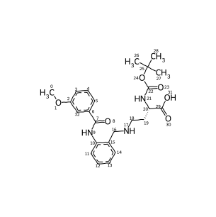 COc1cccc(C(=O)Nc2ccccc2CNCC[C@H](NC(=O)OC(C)(C)C)C(=O)O)c1